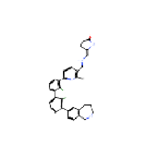 CCc1nc(-c2cccc(-c3cccc(-c4ccc5c(c4)CCCNC5)c3Cl)c2Cl)ccc1CNCC1CCC(=O)N1